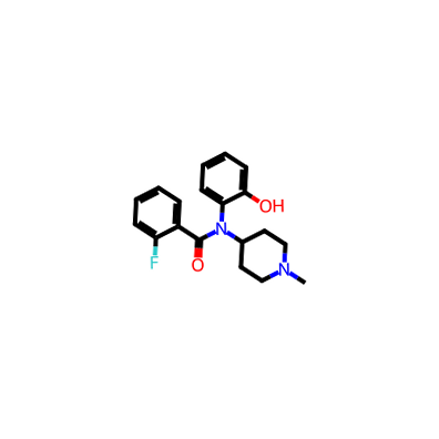 CN1CCC(N(C(=O)c2ccccc2F)c2ccccc2O)CC1